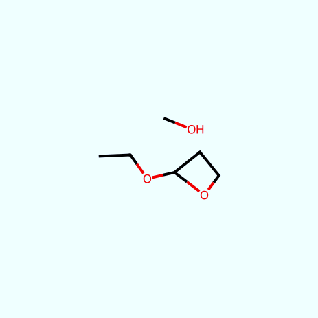 CCOC1CCO1.CO